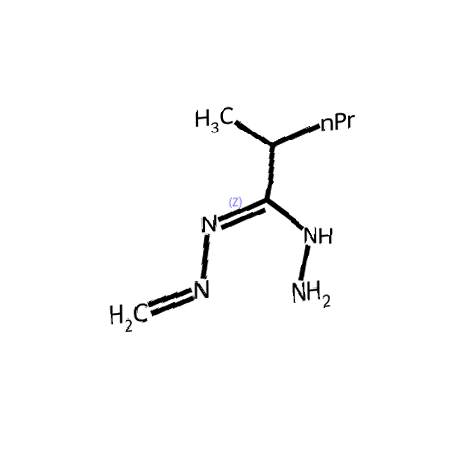 C=N/N=C(\NN)C(C)CCC